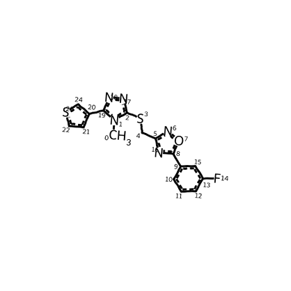 Cn1c(SCc2noc(-c3cccc(F)c3)n2)nnc1-c1ccsc1